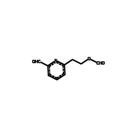 O=COCCc1cccc(C=O)n1